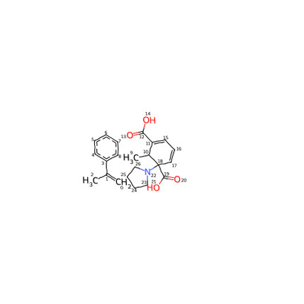 C=C(C)c1ccccc1.CC1C(C(=O)O)=CC=CC1(C(=O)O)N1CCCC1